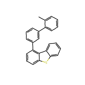 Cc1ccccc1-c1cccc(-c2cccc3sc4ccccc4c23)c1